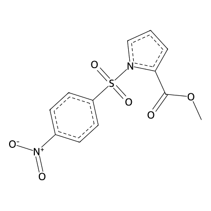 COC(=O)c1cccn1S(=O)(=O)c1ccc([N+](=O)[O-])cc1